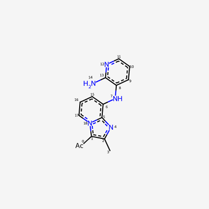 CC(=O)c1c(C)nc2c(Nc3cccnc3N)cccn12